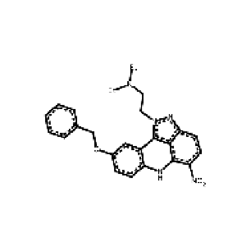 CCN(CC)CCn1nc2ccc([N+](=O)[O-])c3c2c1-c1cc(OCc2ccccc2)ccc1N3